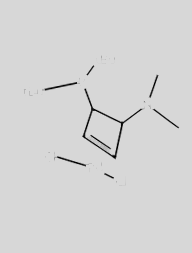 CN(C)C1C=CC1P(C(C)(C)C)C(C)(C)C.[Cl][Pd][Cl]